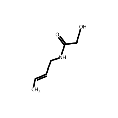 CC=CCNC(=O)CO